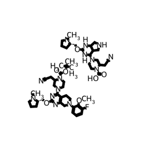 CN1CCC[C@H]1COC1NC2CNCC2C(N2CCN(C(=O)O)C(CC#N)C2)N1.COc1c(F)cccc1N1CCc2c(nc(OC[C@@H]3CCCN3C)nc2N2CCN(C(=O)OC(C)(C)C)C(CC#N)C2)C1